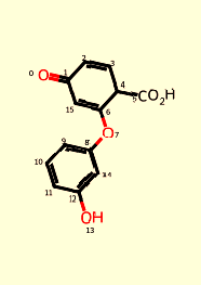 O=C1C=CC(C(=O)O)C(Oc2cccc(O)c2)=C1